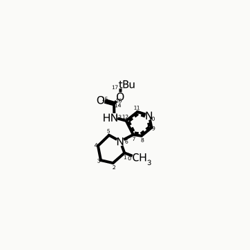 CC1CCCCN1c1ccncc1NC(=O)OC(C)(C)C